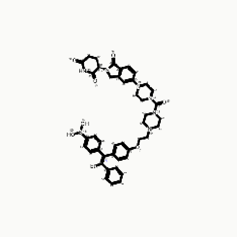 CC/C(=C(/c1ccc(OCCN2CCN(C(=O)N3CCN(c4ccc5c(c4)CN([C@@H]4CCC(=O)NC4=O)C5=O)CC3)CC2)cc1)c1ccc(B(O)O)cc1)c1ccccc1